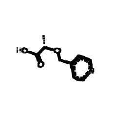 C[C@H](OCc1ccncc1)C(=O)O